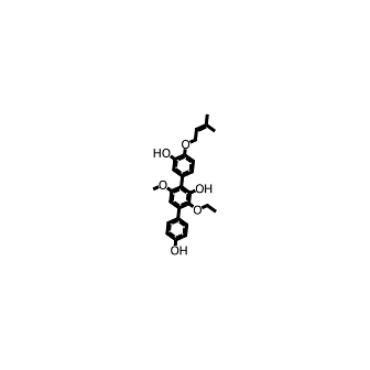 CCOc1c(-c2ccc(O)cc2)cc(OC)c(-c2ccc(OCC=C(C)C)c(O)c2)c1O